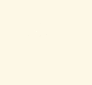 CCCCCCCCN1C(=O)C2=C(C3=CCCCCC3)CCCCC2C1=O